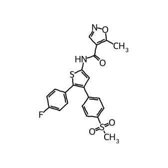 Cc1oncc1C(=O)Nc1cc(-c2ccc(S(C)(=O)=O)cc2)c(-c2ccc(F)cc2)s1